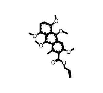 C=CCOC(=O)c1c(OC)cc2c(OC)c3c(OC)ccc(OC)c3c(OC)c2c1C